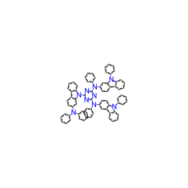 c1ccc(N(c2ccccc2)c2ccc3c4ccccc4n(-c4nc(N(c5ccccc5)c5ccc6c(c5)c5ccccc5n6-c5ccccc5)nc(N(c5ccccc5)c5ccc6c7ccccc7n(-c7ccccc7)c6c5)n4)c3c2)cc1